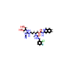 CN(C(=O)NCc1cccc(F)c1Cl)[C@@H](CCCN/C(=N\C#N)NC(CO)CO)COC(=O)Nc1cc2ccccc2cn1